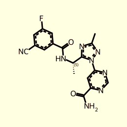 Cc1nc([C@H](C)NC(=O)c2cc(F)cc(C#N)c2)n(-c2cc(C(N)=O)ncn2)n1